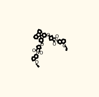 C#CCOc1cccc2cc(N3C(=O)c4ccc(Oc5ccc(C6(c7ccc(Oc8ccc9c(c8)C(=O)N(c8ccc%10c(OCC#C)cccc%10c8)C9=O)cc7)c7ccccc7-c7ccccc76)cc5)cc4C3=O)ccc12